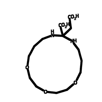 O=C(O)CC1(C(=O)O)NCCCOCCOCCOCCCN1